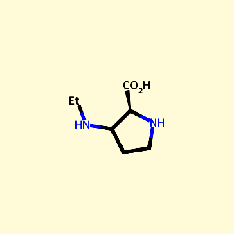 CCNC1CCN[C@@H]1C(=O)O